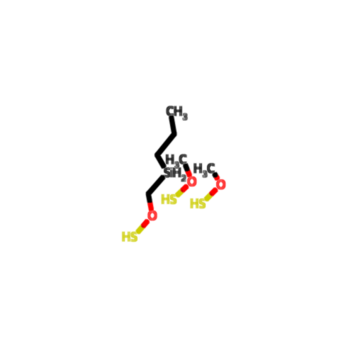 CCC[SiH2]COS.COS.COS